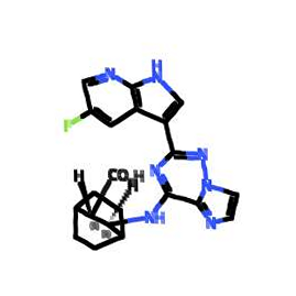 O=C(O)[C@H]1C2CCC(CC2)[C@@H]1Nc1nc(-c2c[nH]c3ncc(F)cc23)nn2ccnc12